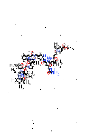 CC[C@H](C)[C@@H]([C@@H](CC(=O)N1CCC[C@H]1[C@H](OC)[C@@H](C)C(=O)N[C@@H](Cc1ccccc1)C(=O)NCc1ccc(NC(=O)[C@H](CCCNC(N)=O)NC(=O)[C@@H](NC(=O)CCC(=O)N2CC[C@H](C(=O)OC)C[C@@H]2C)C(C)C)cc1)OC)N(C)C(=O)[C@@H](NC(=O)[C@H](C(C)C)N(C)C)C(C)C